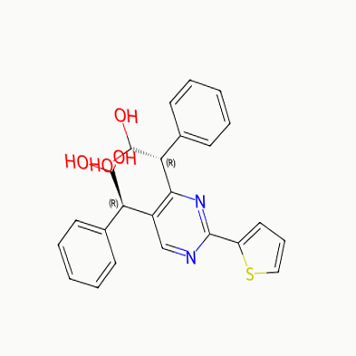 OC(O)[C@H](c1ccccc1)c1cnc(-c2cccs2)nc1[C@@H](c1ccccc1)C(O)O